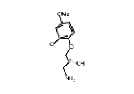 COc1ccc(OC[C@H](O)CN)c(Cl)c1